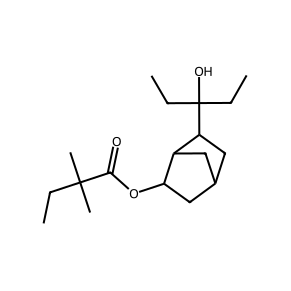 CCC(C)(C)C(=O)OC1CC2CC1C(C(O)(CC)CC)C2